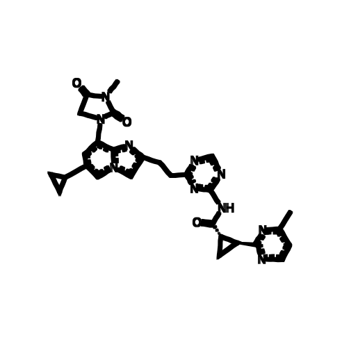 Cc1ccnc([C@H]2C[C@@H]2C(=O)Nc2ncnc(CCc3cn4cc(C5CC5)cc(N5CC(=O)N(C)C5=O)c4n3)n2)n1